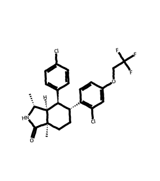 C[C@H]1NC(=O)[C@]2(C)CC[C@@H](c3ccc(OCC(F)(F)F)cc3Cl)[C@H](c3ccc(Cl)cc3)[C@H]12